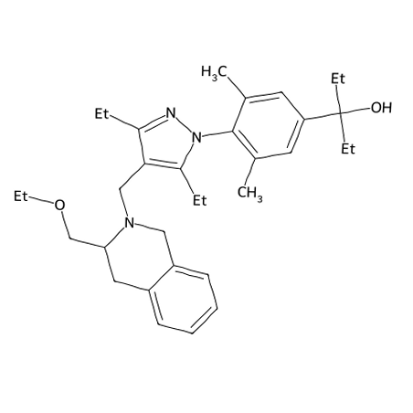 CCOCC1Cc2ccccc2CN1Cc1c(CC)nn(-c2c(C)cc(C(O)(CC)CC)cc2C)c1CC